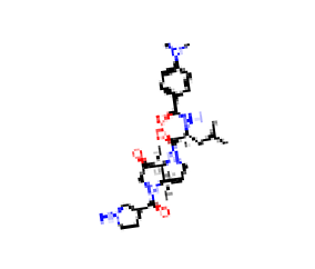 CC(C)C[C@H](NC(=O)c1ccc(N(C)C)cc1)C(=O)N1CC[C@@H]2[C@H]1C(=O)CN2C(=O)C1CCNC1